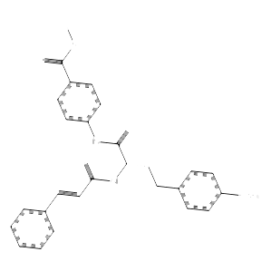 COc1ccc(CC[C@H](NC(=O)/C=C/c2ccccc2)C(=O)Nc2ccc(C(=O)NO)cc2)cc1